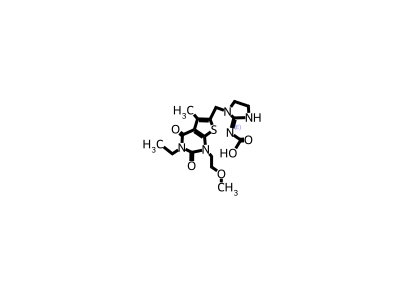 CCn1c(=O)c2c(C)c(CN3CCN/C3=N\C(=O)O)sc2n(CCOC)c1=O